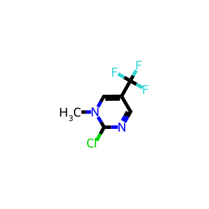 CN1C=C(C(F)(F)F)C=NC1Cl